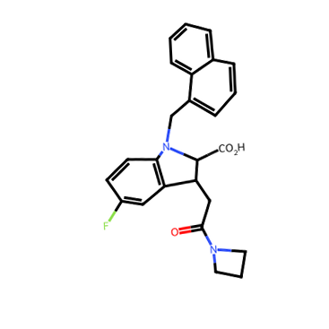 O=C(O)C1C(CC(=O)N2CCC2)c2cc(F)ccc2N1Cc1cccc2ccccc12